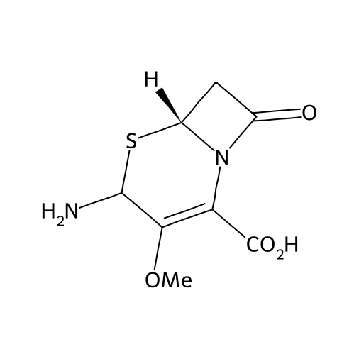 COC1=C(C(=O)O)N2C(=O)C[C@H]2SC1N